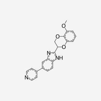 COc1cccc2c1OCC(c1nc3cc(-c4ccncc4)ccc3[nH]1)O2